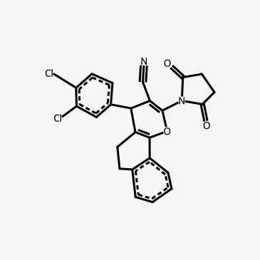 N#CC1=C(N2C(=O)CCC2=O)OC2=C(CCc3ccccc32)C1c1ccc(Cl)c(Cl)c1